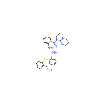 OCc1ccccc1Sc1ccccc1CNc1nc(N2CCCN3CCCN=C32)c2ccccc2n1